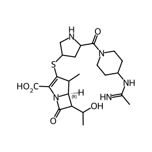 CC(=N)NC1CCN(C(=O)C2CC(SC3=C(C(=O)O)N4C(=O)C(C(C)O)[C@@H]4C3C)CN2)CC1